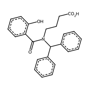 O=C(O)CCCN(C(=O)c1ccccc1O)C(c1ccccc1)c1ccccc1